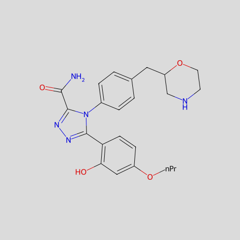 CCCOc1ccc(-c2nnc(C(N)=O)n2-c2ccc(CC3CNCCO3)cc2)c(O)c1